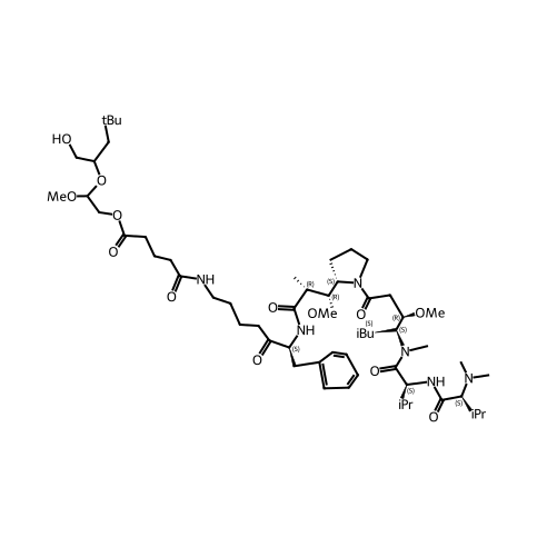 CC[C@H](C)[C@@H]([C@@H](CC(=O)N1CCC[C@H]1[C@H](OC)[C@@H](C)C(=O)N[C@@H](Cc1ccccc1)C(=O)CCCCNC(=O)CCCC(=O)OCC(OC)OC(CO)CC(C)(C)C)OC)N(C)C(=O)[C@@H](NC(=O)[C@H](C(C)C)N(C)C)C(C)C